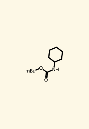 CCC[CH]OC(=O)NC1CCCCC1